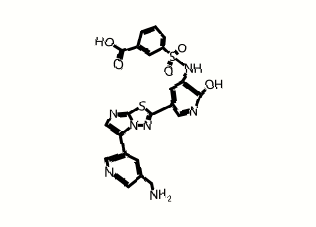 NCc1cncc(-c2cnc3sc(-c4cnc(O)c(NS(=O)(=O)c5cccc(C(=O)O)c5)c4)nn23)c1